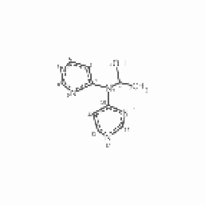 CC(O)N(c1ccncn1)c1ccncn1